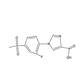 CS(=O)(=O)c1ccc(-n2cnc(C(=O)O)c2)c(F)c1